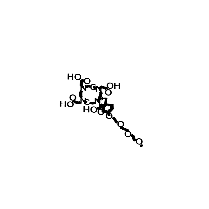 COCCOCCOCCOc1ccc(C[C@@H]2CN(CC(=O)O)CCN(CC(=O)O)CCN(CC(=O)O)CCN2CC(=O)O)cc1